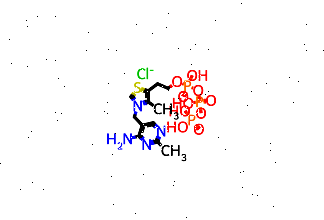 Cc1ncc(C[n+]2csc(CCOP(=O)(O)OP(=O)(O)OP(=O)(O)O)c2C)c(N)n1.[Cl-]